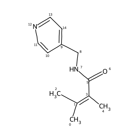 CC(C)=C(C)C(=O)NCc1ccncc1